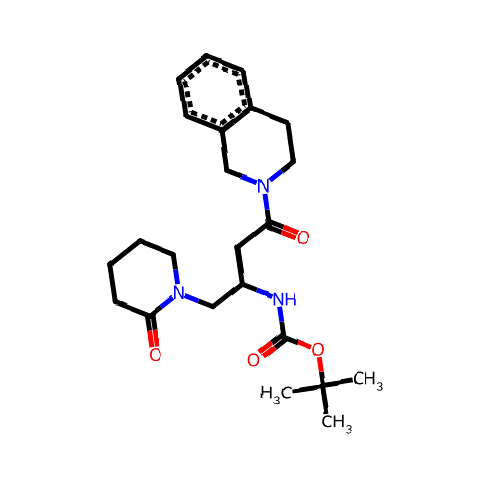 CC(C)(C)OC(=O)NC(CC(=O)N1CCc2ccccc2C1)CN1CCCCC1=O